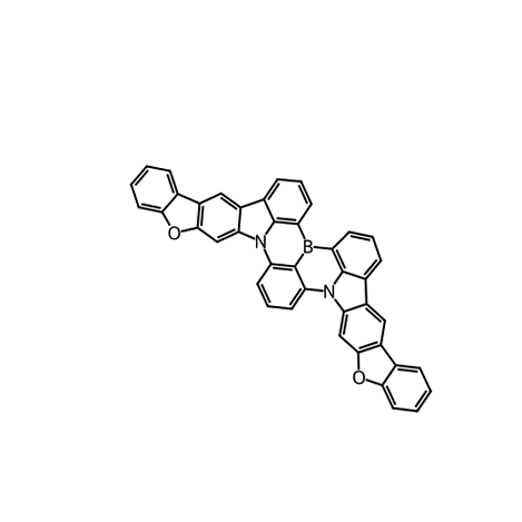 c1cc2c3c(c1)-n1c4cc5oc6ccccc6c5cc4c4cccc(c41)B3c1cccc3c4cc5c(cc4n-2c13)oc1ccccc15